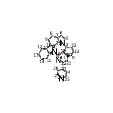 c1ccc(-n2ccc3ccc4c5ccccc5n(-c5cccc(-c6ccncc6)n5)c4c32)cc1